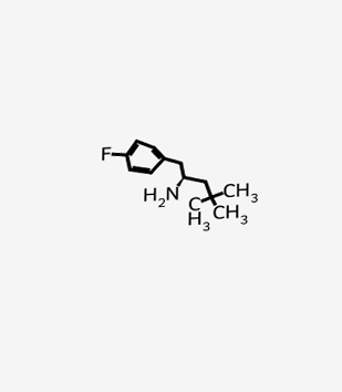 CC(C)(C)C[C@@H](N)Cc1ccc(F)cc1